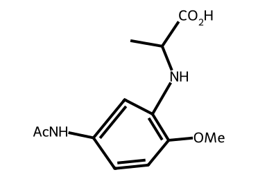 COc1ccc(NC(C)=O)cc1NC(C)C(=O)O